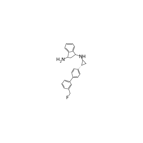 NC1CC(N[C@H]2C[C@@H]2c2ccc(-c3cccc(CF)c3)cc2)c2ccccc21